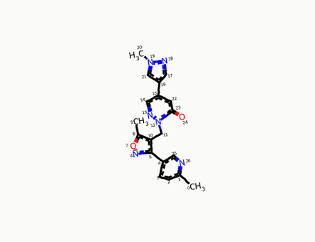 Cc1ccc(-c2noc(C)c2Cn2ncc(-c3cnn(C)c3)cc2=O)cn1